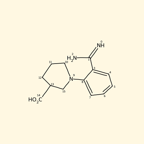 N=C(N)c1ccccc1N1CCCC(C(=O)O)C1